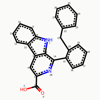 O=C(O)c1cc2c([nH]c3ccccc32)c(-c2ccccc2Cc2ccccc2)n1